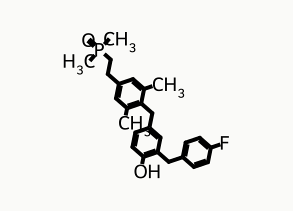 Cc1cc(CCP(C)(C)=O)cc(C)c1Cc1ccc(O)c(Cc2ccc(F)cc2)c1